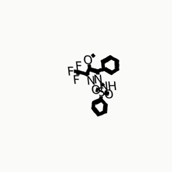 COc1c(C(F)(F)F)nn(NS(=O)(=O)c2ccccc2)c1-c1ccccc1